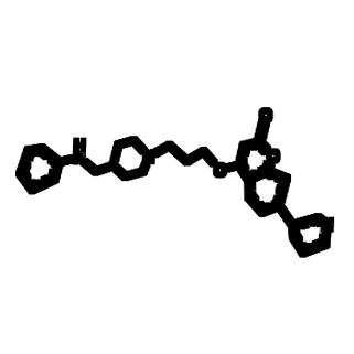 O=c1cc(OCCCN2CCC(CNc3ccccc3)CC2)c2ccc(-c3cccnc3)cc2o1